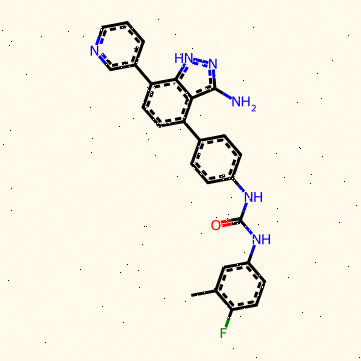 Cc1cc(NC(=O)Nc2ccc(-c3ccc(-c4cccnc4)c4[nH]nc(N)c34)cc2)ccc1F